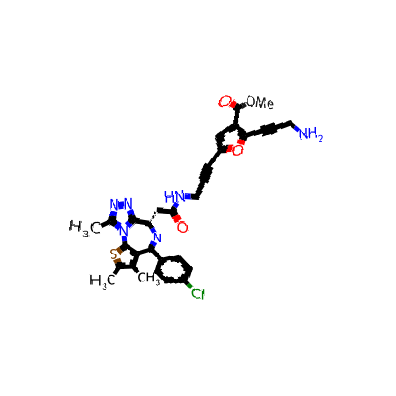 COC(=O)c1cc(C#CCNC(=O)C[C@@H]2N=C(c3ccc(Cl)cc3)c3c(sc(C)c3C)-n3c(C)nnc32)oc1C#CCN